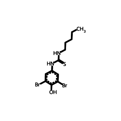 CCCCCNC(=S)Nc1cc(Br)c(O)c(Br)c1